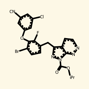 [C-]#[N+]c1cc(Cl)cc(Oc2c(Br)ccc(Cc3nn(C(=O)OC(C)C)c4nnccc34)c2F)c1